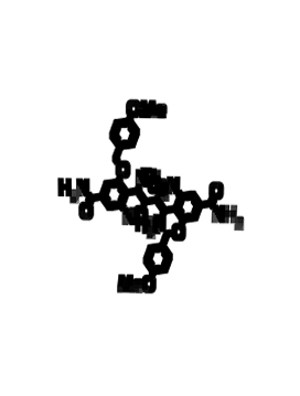 CCO[C@@H](C(N)c1c(OCc2ccc(OC)cc2)cc(C(N)=O)cc1[N+](=O)[O-])[C@@H](OCC)C(N)c1c(OCc2ccc(OC)cc2)cc(C(N)=O)cc1[N+](=O)[O-]